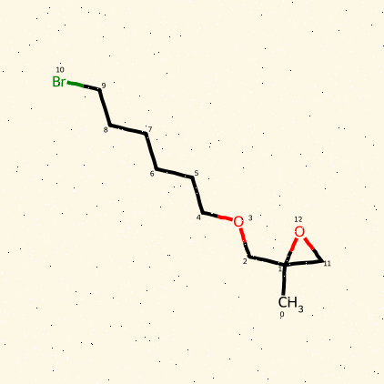 CC1(COCCCCCCBr)CO1